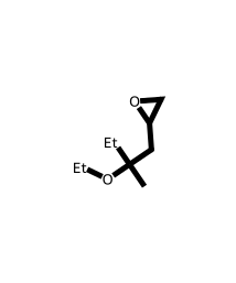 CCOC(C)(CC)CC1CO1